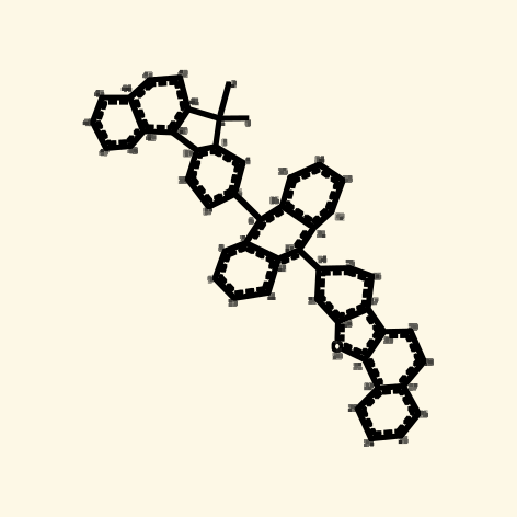 CC1(C)c2cc(-c3c4ccccc4c(-c4ccc5c(c4)oc4c6ccccc6ccc54)c4ccccc34)ccc2-c2c1ccc1ccccc21